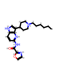 CCCCCCN1CCC(c2c[nH]c3ccc(NC(=O)c4ncco4)nc23)CC1